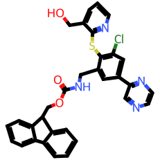 O=C(NCc1cc(-c2cnccn2)cc(Cl)c1Sc1ncccc1CO)OCC1c2ccccc2-c2ccccc21